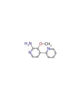 COc1c(-c2ccccn2)ccnc1N